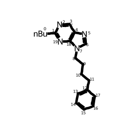 CCCCc1n[c]c2ncn(CCCCc3ccccc3)c2n1